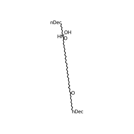 CCCCCCCCCCCCCCCCCCCC(=O)CCCCCCCCCCCCCCCCCCCCCCCCCCCCCC(=O)N[C@@H](CO)CCCCCCCCCCCCCCCC